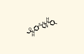 C=CC(=O)Nc1ccc(Sc2ccnc(Nc3ccc(C)cc3)n2)cc1